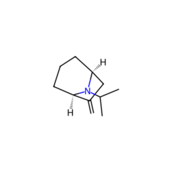 C=C1C[C@@H]2CCC[C@H]1N2C(C)C